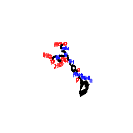 N[C@H](Cc1ccccc1)C(=O)NNC(=O)c1ccc(CNC(=O)CN(CCNCC(=O)O)CCN(CC(=O)O)CC(=O)O)cc1